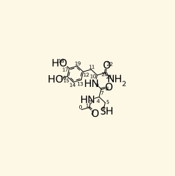 CC(=O)NC(CS)C(=O)NC(Cc1ccc(O)c(O)c1)C(N)=O